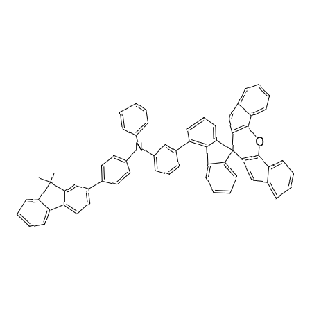 CC1(C)c2ccccc2-c2ccc(-c3ccc(N(c4ccccc4)c4cccc(-c5cccc6c5-c5ccccc5C65c6ccc7ccccc7c6Oc6c5ccc5ccccc65)c4)cc3)cc21